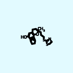 CC1(CCCSC2=NCCS2)CCc2cc(O)c3c(c2O1)C1CCC3C1